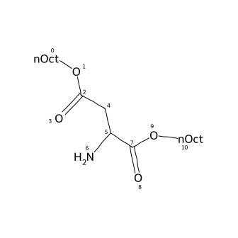 CCCCCCCCOC(=O)CC(N)C(=O)OCCCCCCCC